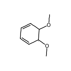 CO[C]1C=CC=CC1OC